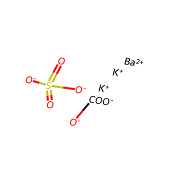 O=C([O-])[O-].O=S(=O)([O-])[O-].[Ba+2].[K+].[K+]